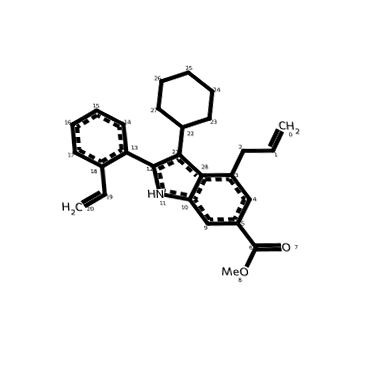 C=CCc1cc(C(=O)OC)cc2[nH]c(-c3ccccc3C=C)c(C3CCCCC3)c12